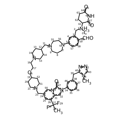 CN(Cc1cc(N2CCCN(CC3CCN(CCOC4CCN(Cc5cc(C(C)(F)F)c6cn(-c7cccc(Cc8nncn8C)c7)c(=O)n6c5)CC4)CC3)CC2)ccc1C=O)C1CCC(=O)NC1=O